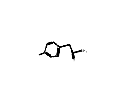 [CH2]c1ccc(CC(N)=O)cc1